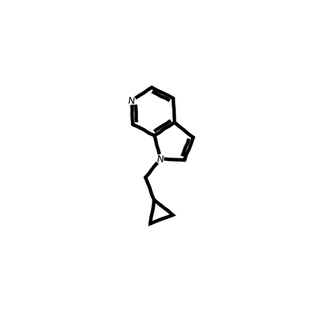 c1cc2ccn(CC3CC3)c2cn1